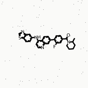 CC1CCCCN1C(=O)c1ccc(-c2ccc3c(Nc4ccc5scnc5c4)ccnc3c2)c(F)c1